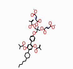 C=C(C)C(=O)OCC(COC(=O)/C=C/C(=O)OC)(COC(=O)/C=C/C(=O)OC)COc1ccc(-c2cc(OC(=O)C(C)C)c(C3CCC(CCCCC)CC3)cc2OC(=O)C(=C)C)cc1